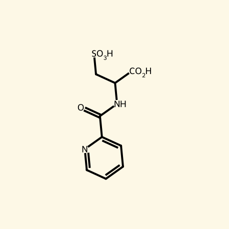 O=C(NC(CS(=O)(=O)O)C(=O)O)c1ccccn1